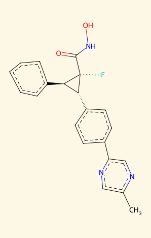 Cc1cnc(-c2ccc([C@@H]3[C@@H](c4ccccc4)[C@@]3(F)C(=O)NO)cc2)cn1